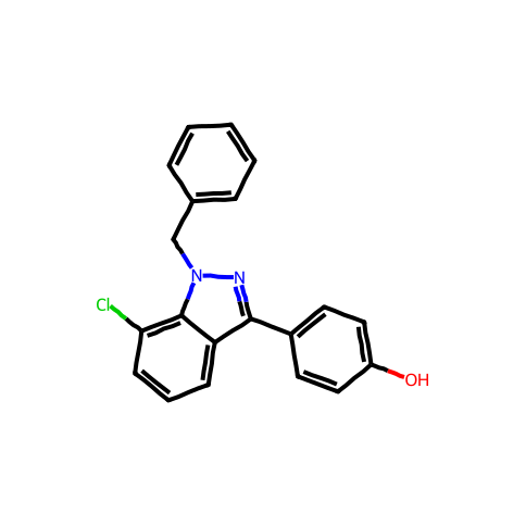 Oc1ccc(-c2nn(Cc3ccccc3)c3c(Cl)cccc23)cc1